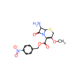 COC1=C(C(=O)OCc2ccc([N+](=O)[O-])cc2)N2C(=O)C(N)C2SC1